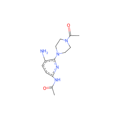 CC(=O)Nc1ccc(N)c(N2CCN(C(C)=O)CC2)n1